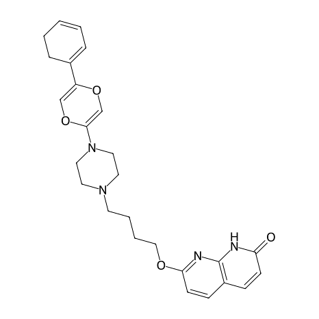 O=c1ccc2ccc(OCCCCN3CCN(C4=COC(C5=CC=CCC5)=CO4)CC3)nc2[nH]1